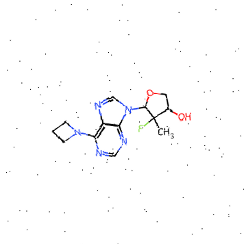 CC1(F)C(O)COC1n1cnc2c(N3CCC3)ncnc21